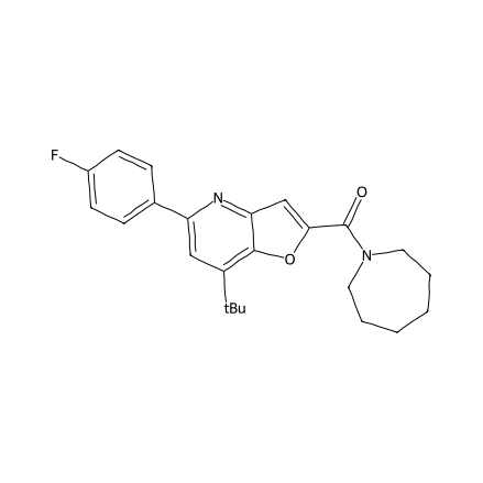 CC(C)(C)c1cc(-c2ccc(F)cc2)nc2cc(C(=O)N3CCCCCC3)oc12